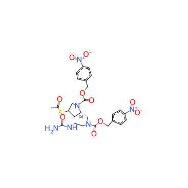 CC(=O)SC1C[C@@H](CN(CCNC(N)=O)C(=O)OCc2ccc([N+](=O)[O-])cc2)N(C(=O)OCc2ccc([N+](=O)[O-])cc2)C1